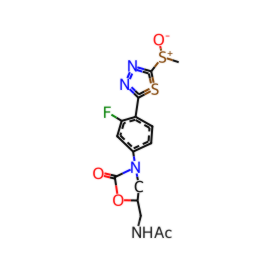 CC(=O)NCC1CN(c2ccc(-c3nnc([S+](C)[O-])s3)c(F)c2)C(=O)O1